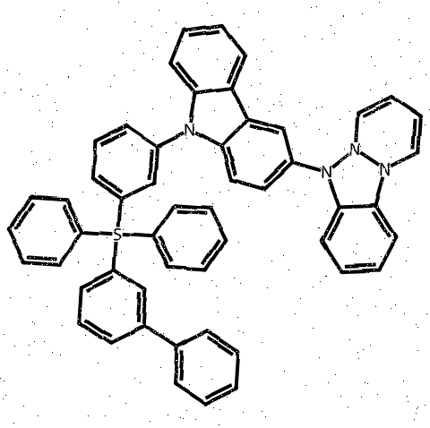 C1=CN2c3ccccc3N(c3ccc4c(c3)c3ccccc3n4-c3cccc(S(c4ccccc4)(c4ccccc4)c4cccc(-c5ccccc5)c4)c3)N2C=C1